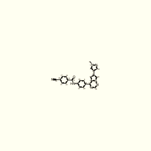 Cn1cc(-c2cc3c(-c4ccc(NC(=O)c5ccc(C#N)cc5)cc4)ncnn3c2)cn1